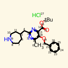 Cc1nc(CC2CCCNCC2)nc(C(=O)OC(C)(C)C)c1OCc1ccccc1.Cl